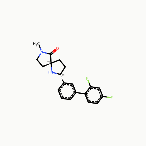 CN1CC[C@]2(CC[C@H](c3cccc(-c4ccc(F)cc4F)c3)N2)C1=O